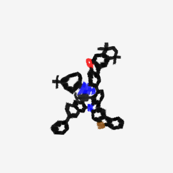 CC(C)(C)c1ccc(Nc2cc3oc4cc5c(cc4c3cc2-c2ccc3c4cc6c(cc4n4c3c2Bc2cc3c(cc2-4)C=C(c2ccccc2)CC3)sc2ccccc26)C(C)(C)CCC5(C)C)cc1